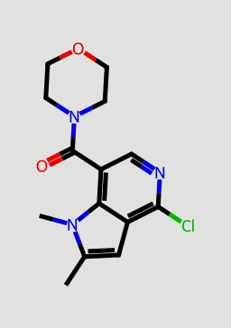 Cc1cc2c(Cl)ncc(C(=O)N3CCOCC3)c2n1C